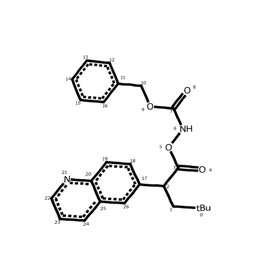 CC(C)(C)CC(C(=O)ONC(=O)OCc1ccccc1)c1ccc2ncccc2c1